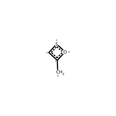 Cc1cso1